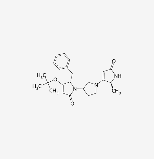 C[C@@H]1NC(=O)C=C1N1CCC(N2C(=O)C=C(OC(C)(C)C)[C@@H]2Cc2ccccc2)C1